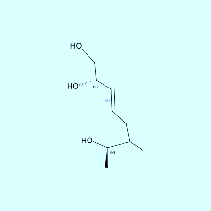 CC(C/C=C/[C@H](O)CO)[C@@H](C)O